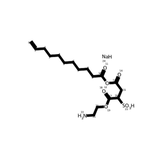 C=CCCCCCCCCC(=O)OC(=O)CC(C(=O)OCCN)S(=O)(=O)O.[NaH]